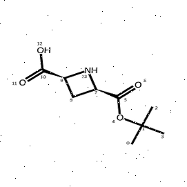 CC(C)(C)OC(=O)[C@H]1C[C@@H](C(=O)O)N1